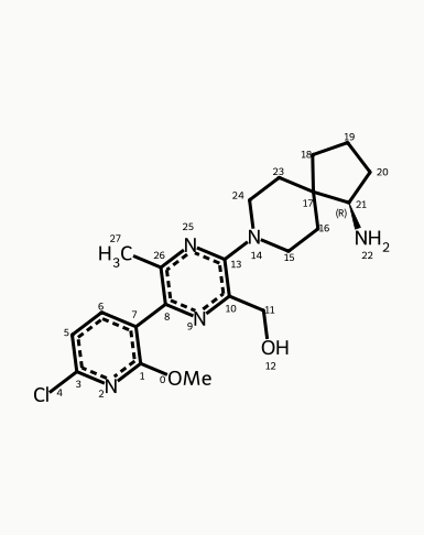 COc1nc(Cl)ccc1-c1nc(CO)c(N2CCC3(CCC[C@H]3N)CC2)nc1C